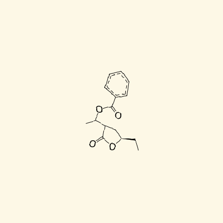 CC[C@@H]1CC(C(C)OC(=O)c2ccccc2)C(=O)O1